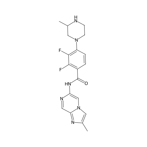 Cc1cn2cc(NC(=O)c3ccc(N4CCNC(C)C4)c(F)c3F)ncc2n1